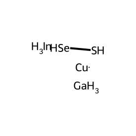 S[SeH].[Cu].[GaH3].[InH3]